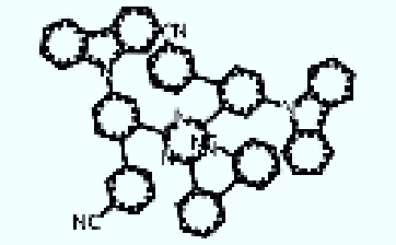 N#Cc1cccc(-c2ccc(-n3c4ccccc4c4ccccc43)cc2-c2nc(-c3cc(-n4c5ccccc5c5ccccc54)ccc3-c3cccc(C#N)c3)nc(-c3ccccc3-c3ccccc3C#N)n2)c1